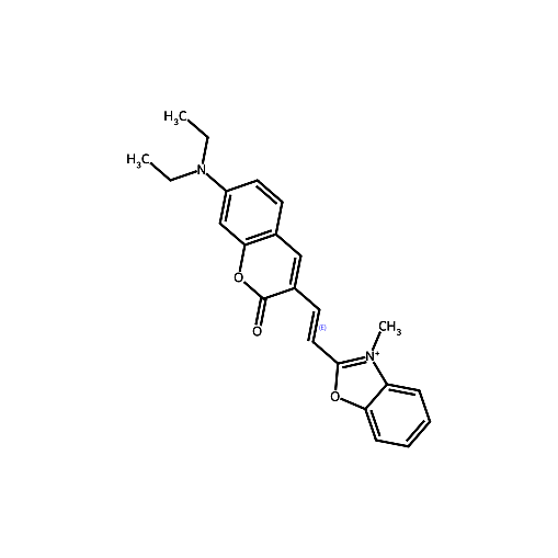 CCN(CC)c1ccc2cc(/C=C/c3oc4ccccc4[n+]3C)c(=O)oc2c1